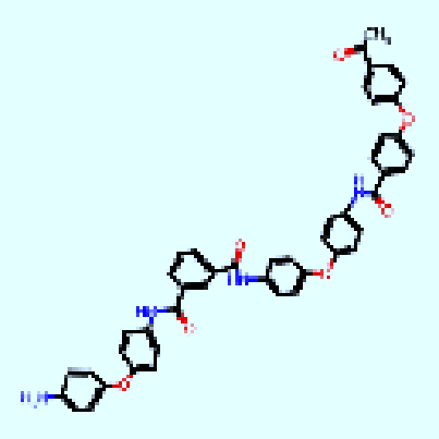 CC(=O)c1ccc(Oc2ccc(C(=O)Nc3ccc(Oc4ccc(NC(=O)c5cccc(C(=O)Nc6ccc(Oc7ccc(N)cc7)cc6)c5)cc4)cc3)cc2)cc1